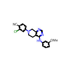 COc1cccc(Nc2ncnc3c2CCN(c2ccc(C#N)c(Cl)c2)C3)c1